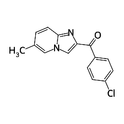 Cc1ccc2nc(C(=O)c3ccc(Cl)cc3)cn2c1